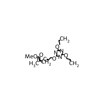 C=C(C)C(=O)OC.C=CCOc1nc(OCC=C)nc(OCC=C)n1